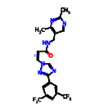 Cc1ncc(CNC(=O)/C=C\n2cnc(-c3cc(C(F)(F)F)cc(C(F)(F)F)c3)n2)c(C)n1